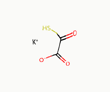 O=C([O-])C(=O)S.[K+]